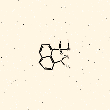 CN(C)c1cccc2cccc(S(=O)(=O)BI)c12